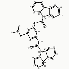 CN(C)Cc1cc(OC(=O)n2c3ccccc3c3ccccc32)cc(OC(=O)n2c3ccccc3c3ccccc32)c1